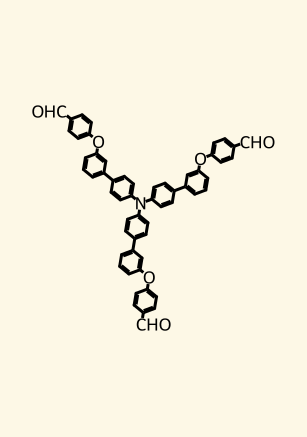 O=Cc1ccc(Oc2cccc(-c3ccc(N(c4ccc(-c5cccc(Oc6ccc(C=O)cc6)c5)cc4)c4ccc(-c5cccc(Oc6ccc(C=O)cc6)c5)cc4)cc3)c2)cc1